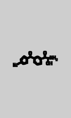 CCc1ccc(C(=O)c2cccc(C(=O)C(N)O)c2)cc1